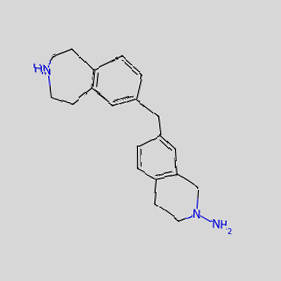 NN1CCc2ccc(Cc3ccc4c(c3)CCNCC4)cc2C1